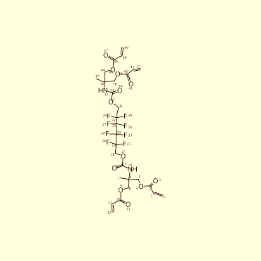 C=CC(=O)OCC(C)(COC(=O)C=C)NC(=O)OCC(F)(F)C(F)(F)C(F)(F)C(F)(F)COC(=O)NC(C)(COC(=O)C=C)COC(=O)C=C